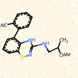 COC(C)CNC1=NSc2cccc(-c3ccccc3C#N)c2N1